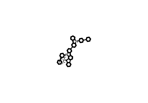 CC1(C)c2ccccc2-c2ccc3c4cc(-c5ccc6c(c5)c5ccccc5n6-c5ccc(-c6ccccc6)cc5)ccc4n(-c4cccc(-c5ccccc5)c4)c3c21